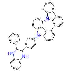 c1ccc(C2Nc3ccccc3NC2c2ccc(-n3c4cccc5c6cccc7c8ccccc8n(c8cccc3c8c54)c67)cc2)cc1